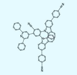 N#Cc1ccc(-c2ccc3c(c2)c2ccccc2n3-c2cc(C#N)c(-c3cc(-c4ccccc4)nc(-c4ccccc4)c3)cc2-n2c3ccccc3c3cc(-c4ccc(C#N)cc4)ccc32)cc1